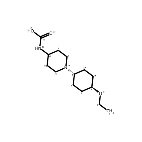 CCO[C@H]1CC[C@H](N2CCC(NC(=O)O)CC2)CC1